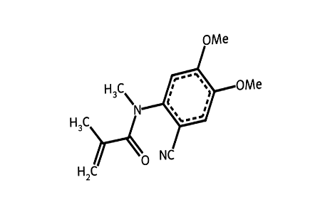 C=C(C)C(=O)N(C)c1cc(OC)c(OC)cc1C#N